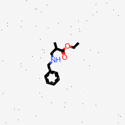 CCOC(=O)C(C)CNCc1ccccc1